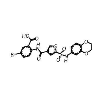 O=C(Nc1ccc(Br)cc1C(=O)O)c1csc(S(=O)(=O)Nc2ccc3c(c2)OCCO3)c1